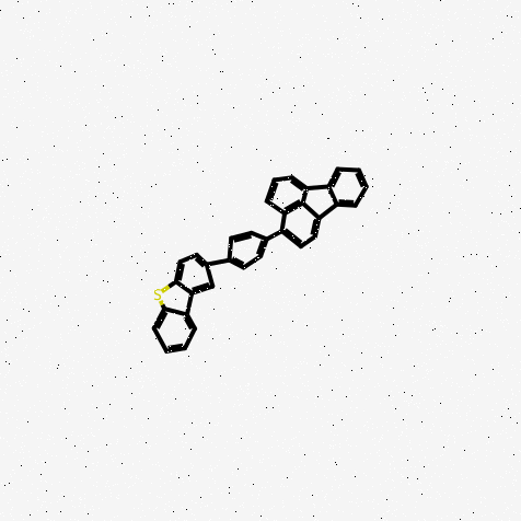 c1ccc2c(c1)-c1cccc3c(-c4ccc(-c5ccc6sc7ccccc7c6c5)cc4)ccc-2c13